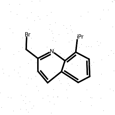 CC(C)c1cccc2ccc(CBr)nc12